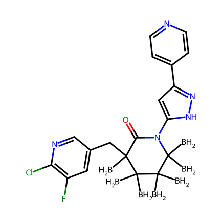 BC1(Cc2cnc(Cl)c(F)c2)C(=O)N(c2cc(-c3ccncc3)n[nH]2)C(B)(B)C(B)(B)C1(B)B